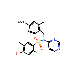 COc1ccc(CN(c2ccncn2)S(=O)(=O)c2cc(C)c(Br)cc2F)c(C)c1